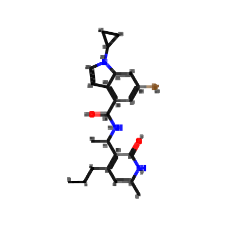 CCCc1cc(C)[nH]c(=O)c1C(C)NC(=O)c1cc(Br)cc2c1ccn2C1CC1